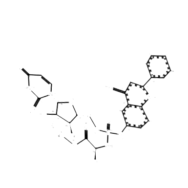 C=C1C=CN([C@@H]2O[C@H](COP(=O)(N[C@@H](C)C(=O)OC(C)C)Oc3ccc4oc(-c5ccccc5)cc(=O)c4c3)[C@@H](O)[C@@]2(C)F)C(=O)N1